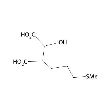 CSCCCC(C(=O)O)C(O)C(=O)O